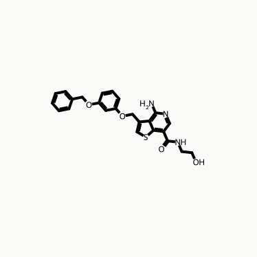 Nc1ncc(C(=O)NCCO)c2scc(COc3cccc(OCc4ccccc4)c3)c12